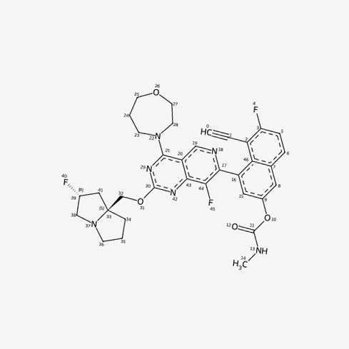 C#Cc1c(F)ccc2cc(OC(=O)NC)cc(-c3ncc4c(N5CCCOCC5)nc(OC[C@@]56CCCN5C[C@H](F)C6)nc4c3F)c12